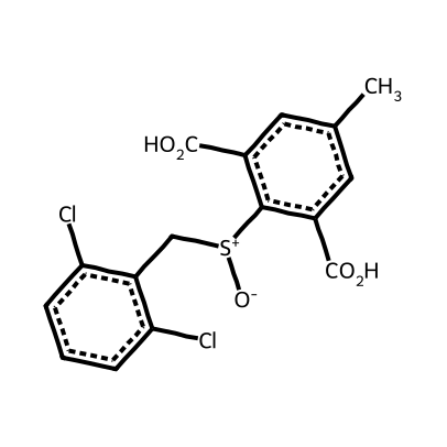 Cc1cc(C(=O)O)c([S+]([O-])Cc2c(Cl)cccc2Cl)c(C(=O)O)c1